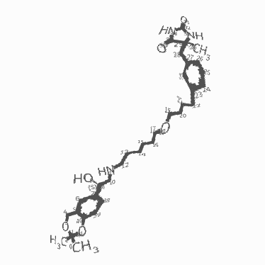 CC1(C)OCc2cc([C@H](O)CNCCCCCCOCCCCc3cccc(C[C@@]4(C)NC(=O)NC4=O)c3)ccc2O1